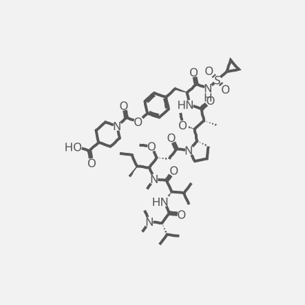 CC[C@H](C)C([C@@H](CC(=O)N1CCC[C@H]1[C@H](OC)[C@@H](C)C(=O)N[C@@H](Cc1ccc(OC(=O)N2CCC(C(=O)O)CC2)cc1)C(=O)NS(=O)(=O)C1CC1)OC)N(C)C(=O)[C@@H](NC(=O)[C@H](C(C)C)N(C)C)C(C)C